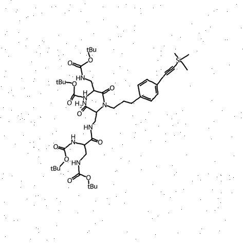 CC(C)(C)OC(=O)NCC(NC(=O)OC(C)(C)C)C(=O)NCC(C(N)=O)N(CCCc1ccc(C#C[Si](C)(C)C)cc1)C(=O)C(CNC(=O)OC(C)(C)C)NC(=O)OC(C)(C)C